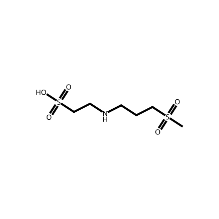 CS(=O)(=O)CCCNCCS(=O)(=O)O